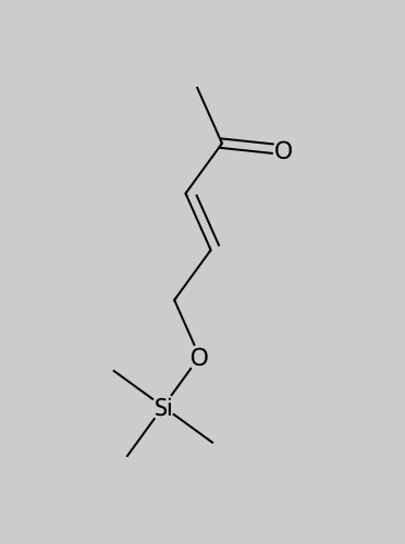 CC(=O)C=CCO[Si](C)(C)C